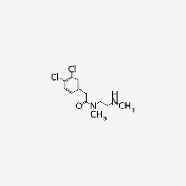 CNCCN(C)C(=O)Cc1ccc(Cl)c(Cl)c1